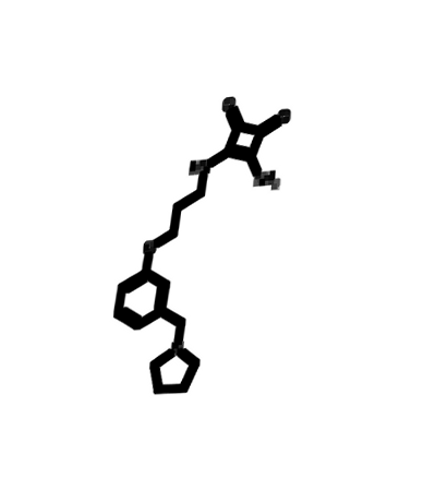 Nc1c(NCCCOc2cccc(CN3CCCC3)c2)c(=O)c1=O